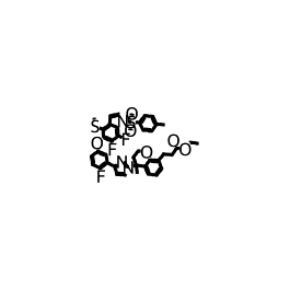 CCOC(=O)CCc1cccc2c1OCCC2(C)n1ccc(-c2cc(Oc3c(F)c(F)c4c(ccn4S(=O)(=O)c4ccc(C)cc4)c3SC)ccc2F)n1